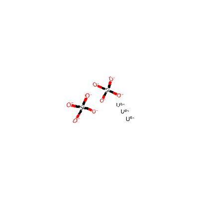 [O-][Si]([O-])([O-])[O-].[O-][Si]([O-])([O-])[O-].[U+6].[U+6].[U+6]